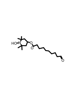 CC1(C)CC(OC(=O)CCCCCCCCC=O)CC(C)(C)N1O